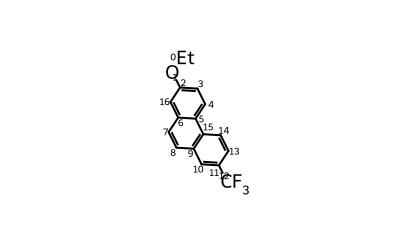 CCOc1ccc2c(ccc3cc(C(F)(F)F)ccc32)c1